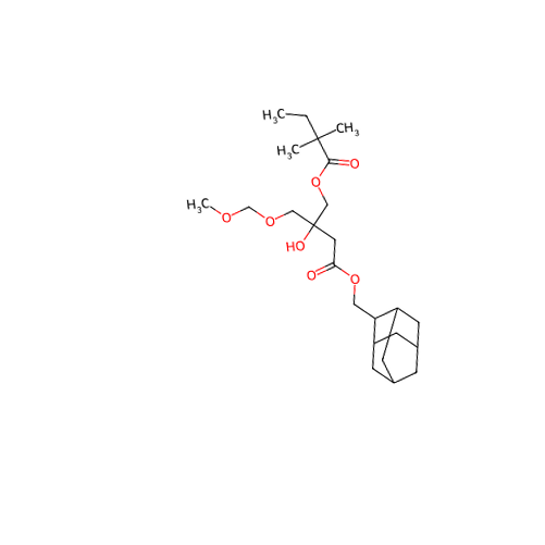 CCC(C)(C)C(=O)OCC(O)(COCOC)CC(=O)OCC1C2CC3CC(C2)CC1C3